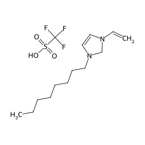 C=CN1C=CN(CCCCCCCC)C1.O=S(=O)(O)C(F)(F)F